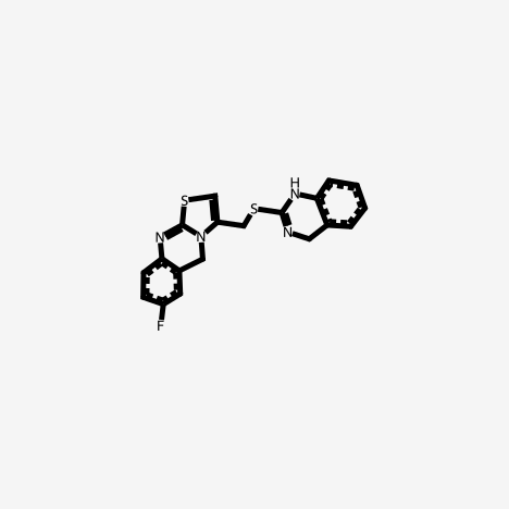 Fc1ccc2c(c1)CN1C(CSC3=NCc4ccccc4N3)=CSC1=N2